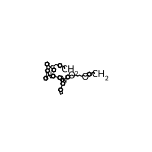 C=Cc1ccc(CCCC2(c3ccccc3)c3ccccc3-c3ccc(N(c4ccccc4)c4ccc(-c5ccc6c(c5)c5cc(-c7ccc8c(c7)CC8)ccc5n6-c5ccc(OCCCCCCOc6ccc(C=C)cc6)cc5)cc4)cc32)cc1